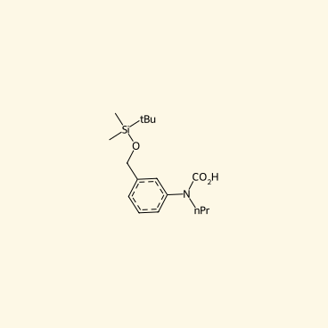 CCCN(C(=O)O)c1cccc(CO[Si](C)(C)C(C)(C)C)c1